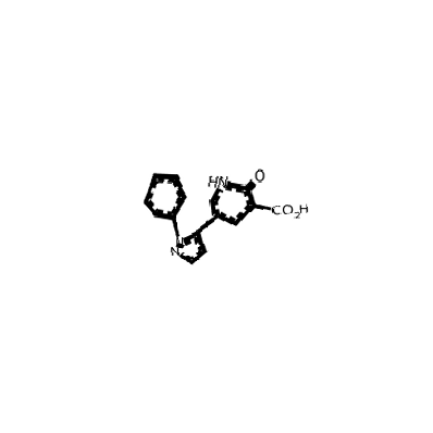 O=C(O)c1cc(-c2ccnn2-c2ccccc2)c[nH]c1=O